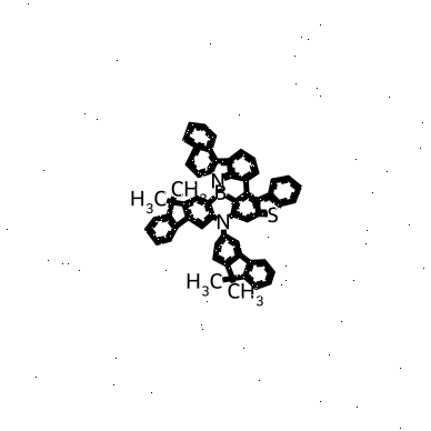 CC1(C)c2ccccc2-c2cc(N3c4cc5c(cc4B4c6c3cc3sc7ccccc7c3c6-c3cccc6c7c8ccccc8ccc7n4c36)C(C)(C)c3ccccc3-5)ccc21